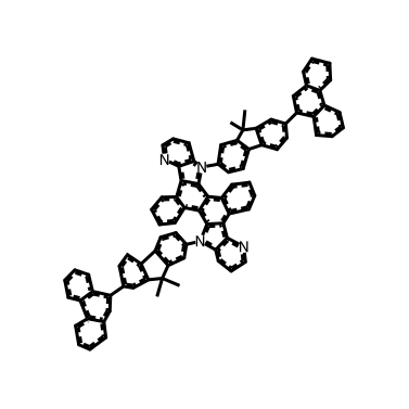 CC1(C)c2cc(-c3cc4ccccc4c4ccccc34)ccc2-c2ccc(-n3c4cccnc4c4c5ccccc5c5c(c6ccccc6c6c7ncccc7n(-c7ccc8c(c7)C(C)(C)c7cc(-c9cc%10ccccc%10c%10ccccc9%10)ccc7-8)c65)c43)cc21